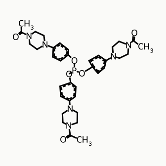 CC(=O)N1CCN(c2ccc(OP(Oc3ccc(N4CCN(C(C)=O)CC4)cc3)Oc3ccc(N4CCN(C(C)=O)CC4)cc3)cc2)CC1